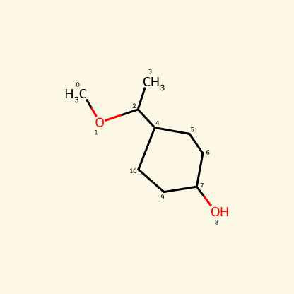 COC(C)C1CCC(O)CC1